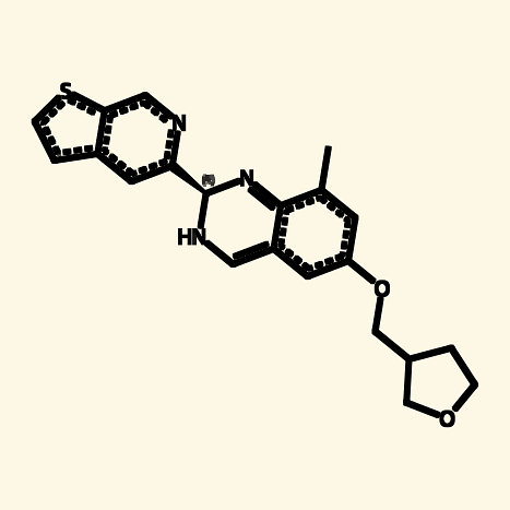 Cc1cc(OCC2CCOC2)cc2c1=N[C@H](c1cc3ccsc3cn1)NC=2